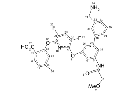 COCC(=O)Nc1cc(Oc2nc(Oc3cc(C)ccc3C(=O)O)c(F)cc2F)cc(-c2cccc(CN)c2)c1